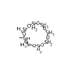 C[SiH]1O[SiH2]O[SiH2]O[SiH2]O[SiH2]O[SiH2]O[SiH2]O[SiH2]O1